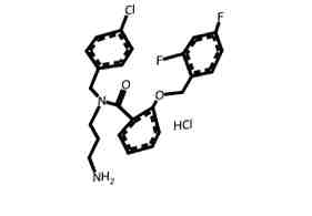 Cl.NCCCN(Cc1ccc(Cl)cc1)C(=O)c1ccccc1OCc1ccc(F)cc1F